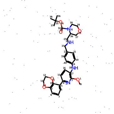 COc1nc(-c2cccc3c2OCCO3)ccc1Nc1ccc(CNCC2COCCN2C(=O)OC(C)(C)C)cc1